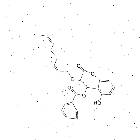 CC(C)=CCCC(C)=CCOc1c(OC(=O)c2ccccc2)c2c(O)cccc2oc1=O